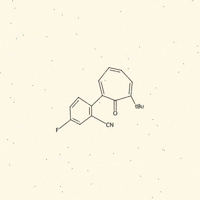 CC(C)(C)c1ccccc(-c2ccc(F)cc2C#N)c1=O